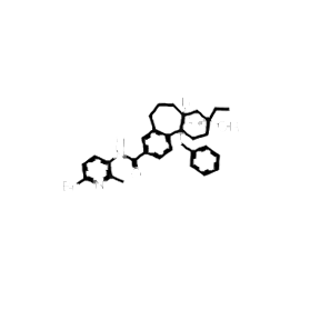 CC[C@@]1(O)CC[C@@]2(Cc3ccccc3)c3ccc(C(=O)Nc4ccc(Br)nc4C)cc3CCC[C@H]2C1